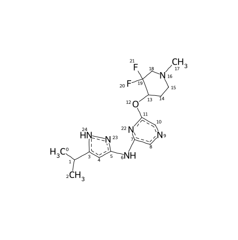 CC(C)c1cc(Nc2cncc(OC3CCN(C)CC3(F)F)n2)n[nH]1